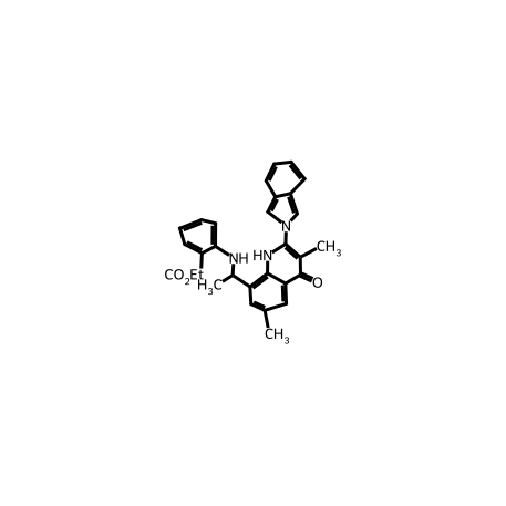 CCOC(=O)c1ccccc1NC(C)c1cc(C)cc2c(=O)c(C)c(-n3cc4ccccc4c3)[nH]c12